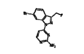 Nc1nccc(-n2nc(CF)c3ccc(Br)cc32)n1